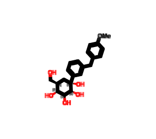 COc1ccc(Cc2cccc([C@]3(O)C[C@H](CO)[C@@H](O)[C@H](O)[C@H]3O)c2)cc1